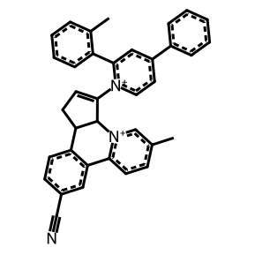 Cc1ccc2[n+](c1)C1C([n+]3ccc(-c4ccccc4)cc3-c3ccccc3C)=CCC1c1ccc(C#N)cc1-2